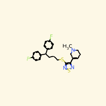 CN1CCC=C(c2nsnc2SCCCC(c2ccc(F)cc2)c2ccc(F)cc2)C1